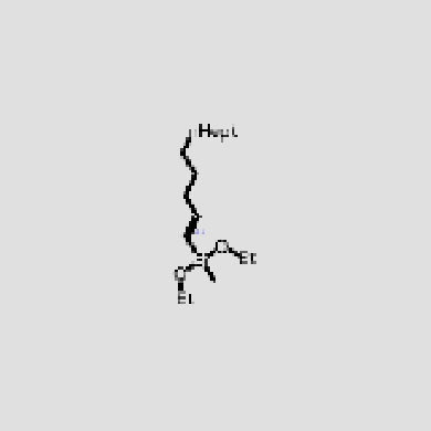 CCCCCCCCCC/C=C/[Si](C)(OCC)OCC